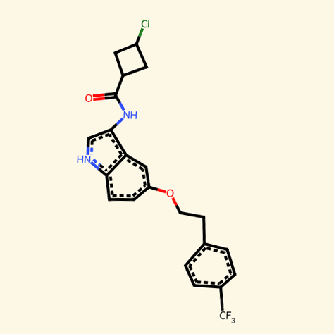 O=C(Nc1c[nH]c2ccc(OCCc3ccc(C(F)(F)F)cc3)cc12)C1CC(Cl)C1